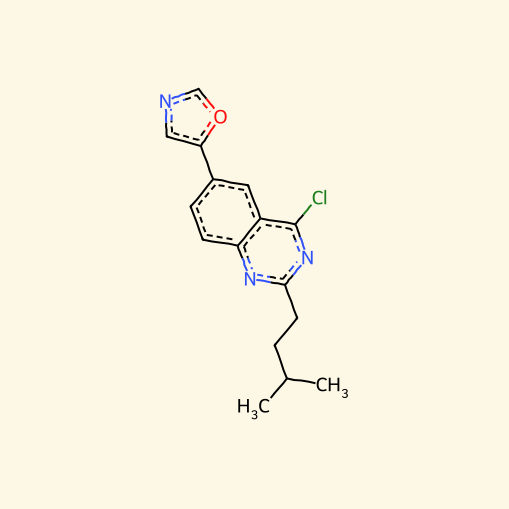 CC(C)CCc1nc(Cl)c2cc(-c3cnco3)ccc2n1